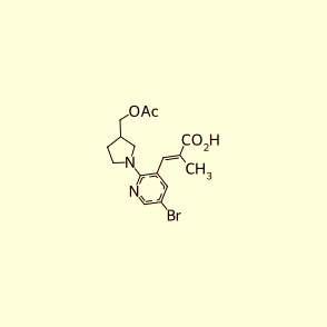 CC(=O)OCC1CCN(c2ncc(Br)cc2C=C(C)C(=O)O)C1